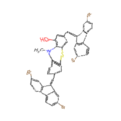 CN1c2ccc(C=C3c4cc(Br)ccc4-c4ccc(Br)cc43)cc2Sc2cc(C=C3c4cc(Br)ccc4-c4ccc(Br)cc43)cc(O)c21